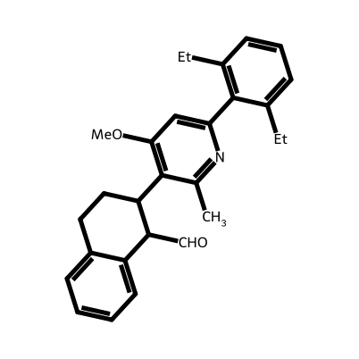 CCc1cccc(CC)c1-c1cc(OC)c(C2CCc3ccccc3C2C=O)c(C)n1